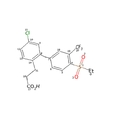 CCS(=O)(=O)c1ccc(-c2cc(Cl)ccc2CCC(=O)O)cc1C(F)(F)F